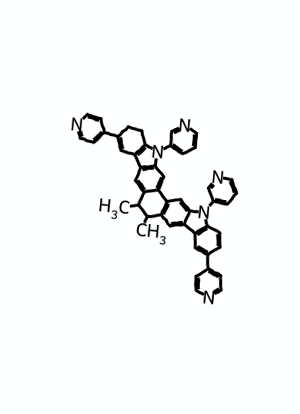 CC1c2cc3c4c(n(-c5cccnc5)c3cc2-c2cc3c(cc2C1C)c1cc(-c2ccncc2)ccc1n3-c1cccnc1)CCC(c1ccncc1)=C4